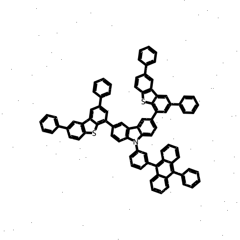 c1ccc(-c2ccc3sc4c(-c5ccc6c(c5)c5cc(-c7cc(-c8ccccc8)cc8c7sc7ccc(-c9ccccc9)cc78)ccc5n6-c5cccc(-c6c7ccccc7c(-c7ccccc7)c7ccccc67)c5)cc(-c5ccccc5)cc4c3c2)cc1